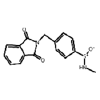 CN[S+]([O-])c1ccc(CN2C(=O)c3ccccc3C2=O)cc1